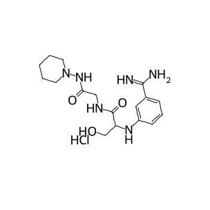 Cl.N=C(N)c1cccc(NC(CO)C(=O)NCC(=O)NN2CCCCC2)c1